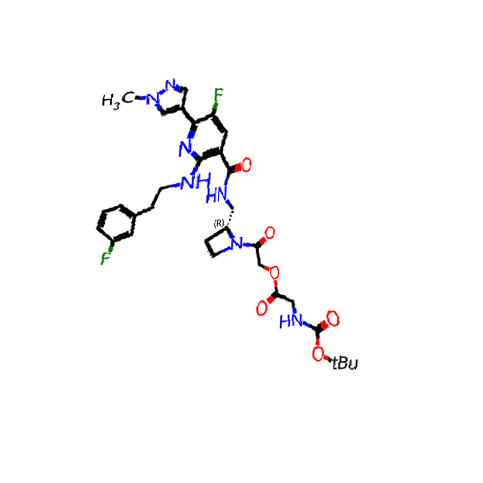 Cn1cc(-c2nc(NCCc3cccc(F)c3)c(C(=O)NC[C@H]3CCN3C(=O)COC(=O)CNC(=O)OC(C)(C)C)cc2F)cn1